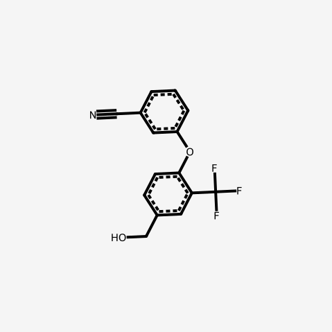 N#Cc1cccc(Oc2ccc(CO)cc2C(F)(F)F)c1